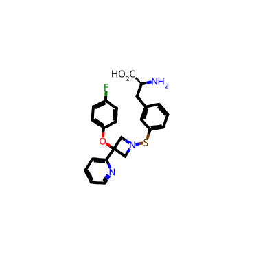 N[C@@H](Cc1cccc(SN2CC(Oc3ccc(F)cc3)(c3ccccn3)C2)c1)C(=O)O